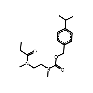 CCC(=O)N(C)CCN(C)C(=O)OCc1ccc(C(C)C)cc1